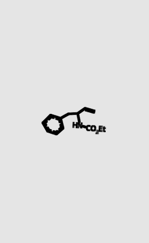 C=CC(Cc1ccccc1)NC(=O)OCC